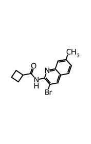 Cc1ccc2cc(Br)c(NC(=O)C3CCC3)nc2c1